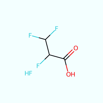 F.O=C(O)C(F)C(F)F